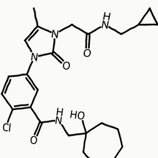 Cc1cn(-c2ccc(Cl)c(C(=O)NCC3(O)CCCCCC3)c2)c(=O)n1CC(=O)NCC1CC1